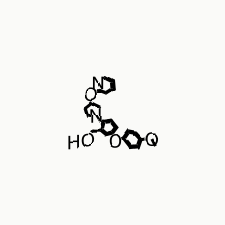 COc1ccc(Oc2ccc(N3CC[C@H](Oc4ccccn4)C3)c(CO)c2)cc1